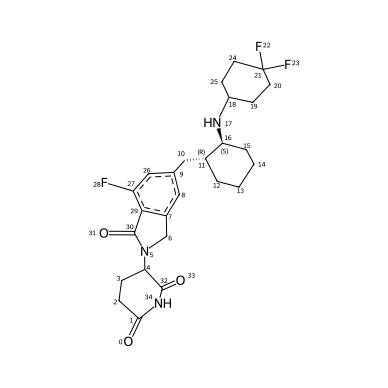 O=C1CCC(N2Cc3cc(C[C@H]4CCCC[C@@H]4NC4CCC(F)(F)CC4)cc(F)c3C2=O)C(=O)N1